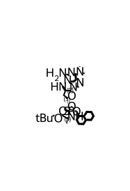 C[C@H](NP(=S)(OC[C@@H]1CC(=N)[C@H](n2cnc3c(N(C)C)nc(N)nc32)O1)Oc1cccc2ccccc12)C(=O)OCC(C)(C)C